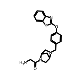 NCC(=O)N1CC2CC1CN2Cc1ccc(Oc2nc3ccccc3s2)cc1